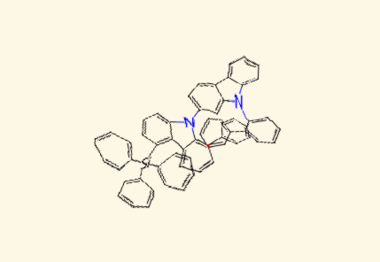 c1ccc(-c2ccccc2-n2c3ccccc3c3ccc(-n4c5cccc([Si](c6ccccc6)(c6ccccc6)c6ccccc6)c5c5cccc(-c6ccccc6)c54)cc32)cc1